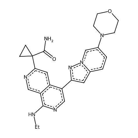 CCNc1ncc(-c2cc3ccc(N4CCOCC4)cn3n2)c2cc(C3(C(N)=O)CC3)ncc12